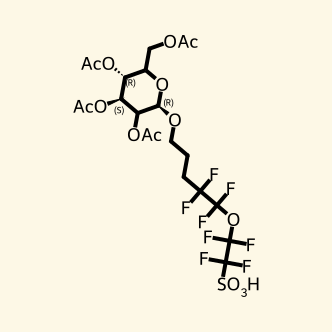 CC(=O)OCC1O[C@@H](OCCCC(F)(F)C(F)(F)OC(F)(F)C(F)(F)S(=O)(=O)O)C(OC(C)=O)[C@@H](OC(C)=O)[C@@H]1OC(C)=O